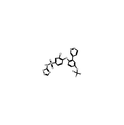 O=S(=O)(Nc1ncns1)c1ccc(Oc2ccc(OC(F)(F)F)cc2-c2ccnnc2)c(Cl)c1